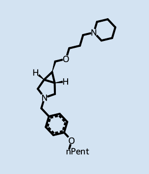 CCCCCOc1ccc(CN2C[C@@H]3[C@@H](COCCCN4CCCCC4)[C@@H]3C2)cc1